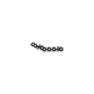 c1ccc2cc3c(cc2c1)sc1c2cc4ccc(-c5ccc(-c6ccc(-c7cc8ccccc8s7)cc6)cc5)cc4cc2sc31